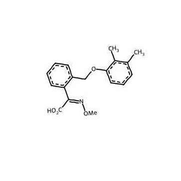 CON=C(C(=O)O)c1ccccc1COc1cccc(C)c1C